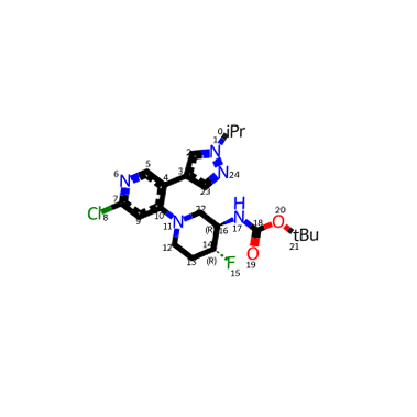 CC(C)n1cc(-c2cnc(Cl)cc2N2CC[C@@H](F)[C@H](NC(=O)OC(C)(C)C)C2)cn1